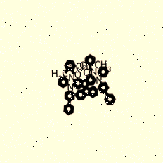 Cc1cccc(C)c1-c1nc2c(N(c3ccccc3)c3ccc(-c4ccccc4)cc3)cc3c(c2o1)-c1c(cc(N(c2ccccc2)c2ccc(-c4ccccc4)cc2)c2nc(-c4c(C)cccc4C)oc12)C31c2ccccc2-c2ccccc21